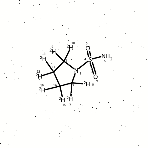 [2H]C1([2H])N(S(N)(=O)=O)C([2H])([2H])C([2H])([2H])C1([2H])[2H]